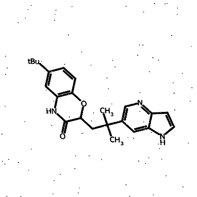 CC(C)(C)c1ccc2c(c1)NC(=O)C(CC(C)(C)c1cnc3cc[nH]c3c1)O2